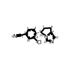 N#Cc1ccc([C@@H]2CCc3cncn32)c(Cl)c1